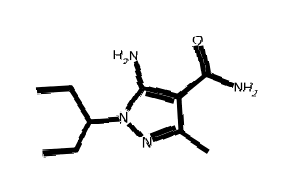 CCC(CC)n1nc(C)c(C(N)=O)c1N